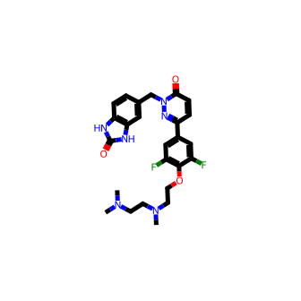 CN(C)CCN(C)CCOc1c(F)cc(-c2ccc(=O)n(Cc3ccc4[nH]c(=O)[nH]c4c3)n2)cc1F